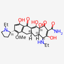 CCN[C@@H]1C(O)=C(C(N)=O)C(=O)[C@@]2(O)C(O)=C3C(=O)c4c(O)cc([C@@H]5CCCN5CC)c(OC)c4C[C@H]3C[C@@H]12